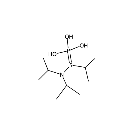 CC(C)N(C(C)C)S(C(C)C)=P(O)(O)O